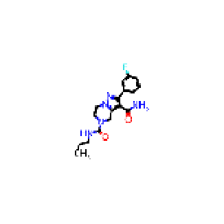 CCCNC(=O)N1CCn2nc(-c3cccc(F)c3)c(C(N)=O)c2C1